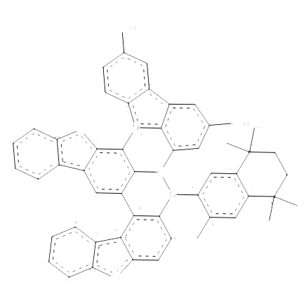 CCCCc1ccc2c(c1)c1cc(CCCC)cc3c1n2-c1c2c(cc4c1sc1ccccc14)-c1c(ccc4oc5ccccc5c14)N(c1cc4c(cc1C)C(C)(C)CCC4(C)C)B23